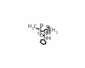 CCN(C#N)C(=O)C(CS(C)(=O)=O)NC(=O)NC1CCCCC1